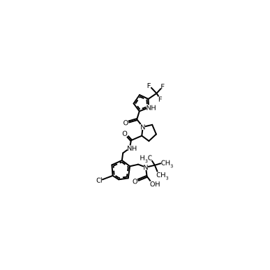 CC(C)(C)N(Cc1ccc(Cl)cc1CNC(=O)C1CCCN1C(=O)c1ccc(C(F)(F)F)[nH]1)C(=O)O